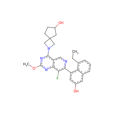 CCc1cccc2cc(O)cc(-c3ncc4c(N5CC6(CCC(O)C6)C5)nc(OC)nc4c3F)c12